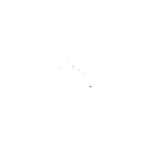 N#CC1(NC(=O)[C@H]2CC[C@H](S(=O)(=O)c3ccc(N4CC5(COC5)C4)cc3Cl)C2)CC1